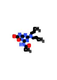 C=CCN(CC=C)c1nc(NC(C)=O)n2oc(=O)nc2n1